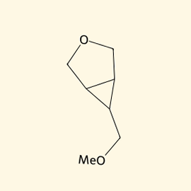 COCC1C2COCC12